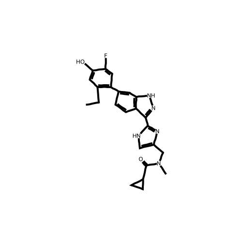 CCc1cc(O)c(F)cc1-c1ccc2c(-c3nc(CN(C)C(=O)C4CC4)c[nH]3)n[nH]c2c1